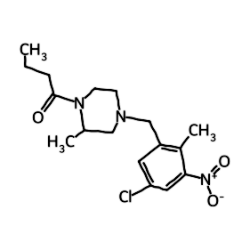 CCCC(=O)N1CCN(Cc2cc(Cl)cc([N+](=O)[O-])c2C)CC1C